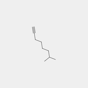 C#CCCCCC(C)C